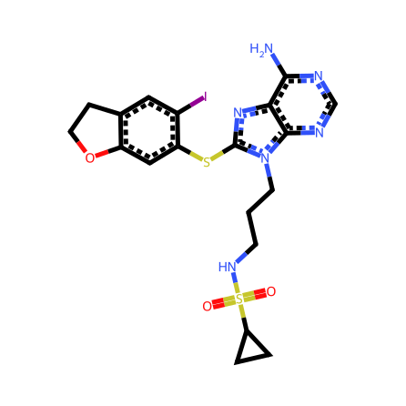 Nc1ncnc2c1nc(Sc1cc3c(cc1I)CCO3)n2CCCNS(=O)(=O)C1CC1